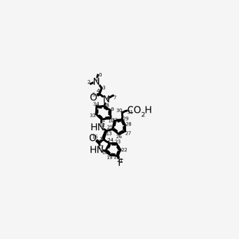 CN(C)CC(=O)N(C)c1ccc(N/C(=C2\C(=O)Nc3cc(F)ccc32)c2cccc(CC(=O)O)c2)cc1